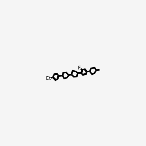 CCc1ccc(C2CCC(C3CCC(c4ccc(C5CCC(C)CC5)cc4F)CC3)CC2)cc1